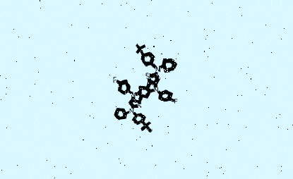 CC(C)(C)c1ccc(N(c2ccccc2)c2cc3c(s2)c2cc4c(cc2n3-c2ccc(F)cc2)c2sc(N(c3ccccc3)c3ccc(C(C)(C)C)cc3)cc2n4-c2ccc(F)cc2)cc1